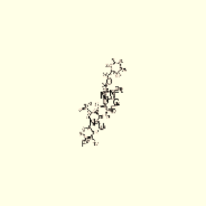 C=C(C)c1cn(-c2ccc(F)c(C)c2)c(=O)c2cc(F)c(-n3nc(COCc4ccccc4)n(CC)c3=O)cc12